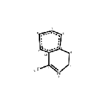 FC1=NCCc2ccccc21